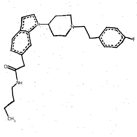 CCCCNC(=O)Cc1ccc2ccn(C3CCN(CCc4ccc(F)cc4)CC3)c2c1